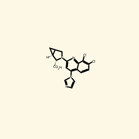 O=C(O)[C@@H]1[C@H]2CC2CN1c1cc(-n2ccnc2)c2ccc(Cl)c(Cl)c2n1